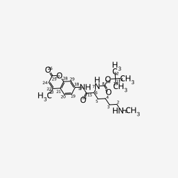 CNCCCCC(NC(=O)OC(C)(C)C)C(=O)Nc1ccc2c(C)cc(=O)oc2c1